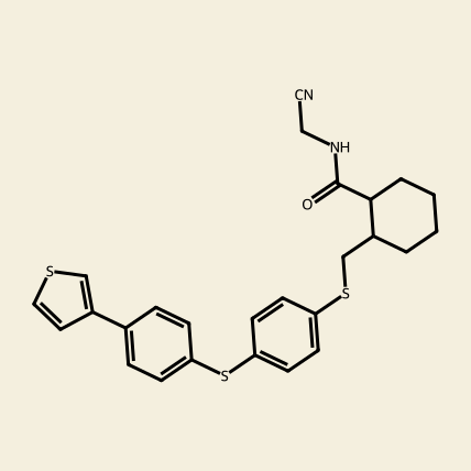 N#CCNC(=O)C1CCCCC1CSc1ccc(Sc2ccc(-c3ccsc3)cc2)cc1